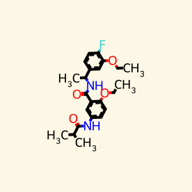 CCOc1cc(C(C)NC(=O)c2cc(NC(=O)C(C)C)ccc2OCC)ccc1F